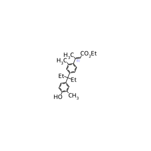 CCOC(=O)/C=C(\C)c1ccc(C(CC)(CC)c2ccc(O)c(C)c2)cc1C